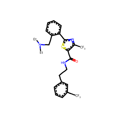 CCN(CC)Cc1ccccc1-c1nc(C(F)(F)F)c(C(=O)NCCc2cccc(C(F)(F)F)c2)s1